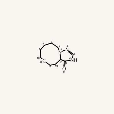 O=C1NC=NN2CCCCCCCCC12